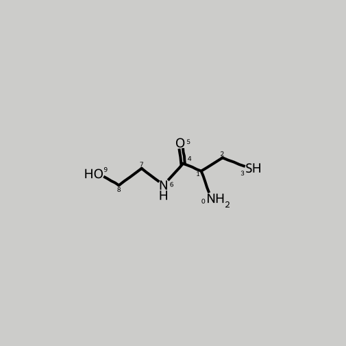 NC(CS)C(=O)NCCO